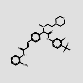 CN(CCN1CCOCC1)C(C(=O)Nc1ccc(C(F)(F)F)c(F)c1)c1ccc(/C=C/C(=O)Nc2ccccc2N)cc1